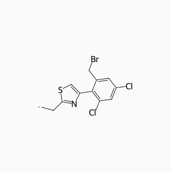 [CH2]Cc1nc(-c2c(Cl)cc(Cl)cc2CBr)cs1